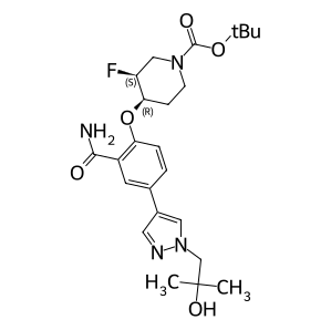 CC(C)(O)Cn1cc(-c2ccc(O[C@@H]3CCN(C(=O)OC(C)(C)C)C[C@@H]3F)c(C(N)=O)c2)cn1